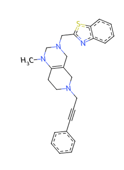 CN1CN(Cc2nc3ccccc3s2)CC2=C1CCN(CC#Cc1ccccc1)C2